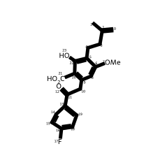 C=C(C)CCc1c(OC)cc(CC(=O)c2ccc(F)cc2)c(C(=O)O)c1O